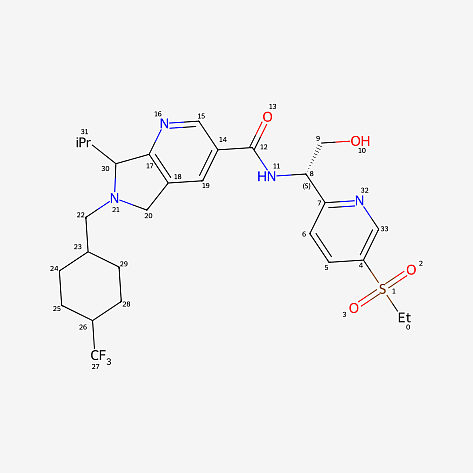 CCS(=O)(=O)c1ccc([C@@H](CO)NC(=O)c2cnc3c(c2)CN(CC2CCC(C(F)(F)F)CC2)C3C(C)C)nc1